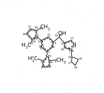 Cc1ccc(C)n1-c1cc(C(O)c2cnn(C3CCC3)c2)cc(-n2c(C)ccc2C)n1